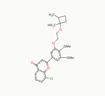 COc1cc(-c2cc(=O)c3cccc(Cl)c3o2)cc(OCCOC2(C(=O)O)CCC2C)c1OC